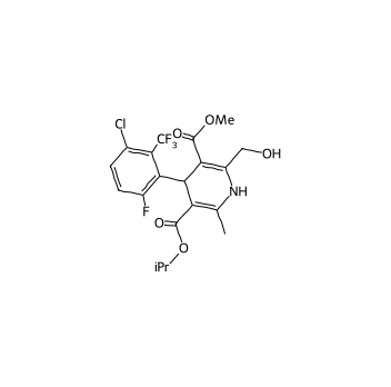 COC(=O)C1=C(CO)NC(C)=C(C(=O)OC(C)C)C1c1c(F)ccc(Cl)c1C(F)(F)F